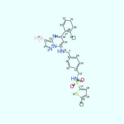 Bc1cnn2c(NCc3ccc(CNS(=O)(=O)c4ccc(Cl)s4)cc3)cc(C3=C(Cl)CCC=C3)nc12